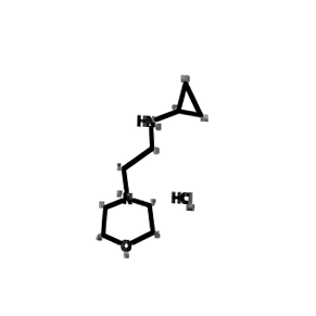 C(CN1CCOCC1)NC1CC1.Cl